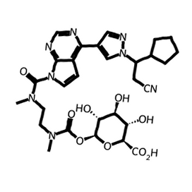 CN(CCN(C)C(=O)n1ccc2c(-c3cnn(C(CC#N)C4CCCC4)c3)ncnc21)C(=O)O[C@@H]1O[C@H](C(=O)O)[C@@H](O)[C@H](O)[C@H]1O